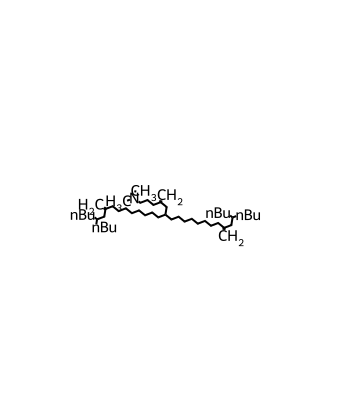 C=C(CCCCCCCCC(CCCCCCCCC(=C)CC(CCCC)CCCC)CC(=C)CCCN(C)C)CC(CCCC)CCCC